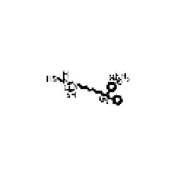 NS(=O)(=O)c1ccc(-c2c(-c3ccccc3)noc2CCCCCCCN(CCS)CC(=O)NCCS)cc1